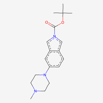 CN1CCN(c2ccc3cn(C(=O)OC(C)(C)C)cc3c2)CC1